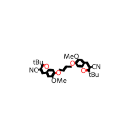 COc1cc(C=C(C#N)C(=O)C(C)(C)C)ccc1OCC=CCOc1ccc(C=C(C#N)C(=O)C(C)(C)C)cc1OC